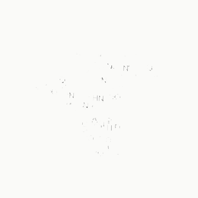 CCCC(=O)OC(OC(=O)CCC)O[PH](=O)CC(NC(=O)c1cc(N2CCC(OC)C2)nc(-c2ccccc2)n1)C(=O)N1CCN(C(=O)OCC)CC1